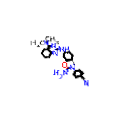 CN(C)c1nc(N[C@H]2CC[C@@H](CN(C(N)=O)c3ccc(C#N)cc3)CC2)nc2c1CCCC2